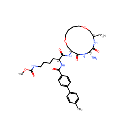 CCCCc1ccc(-c2ccc(C(=O)N[C@@H](CCCCNC(=O)OC(C)(C)C)C(=O)N[C@H]3COCCCCOC[C@@H](C(=O)O)NC(=O)[C@H](N)NC3=O)cc2)cc1